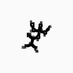 O=P(OCl)(OI)OC(F)C(F)F